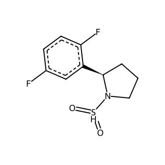 O=[SH](=O)N1CCC[C@@H]1c1cc(F)ccc1F